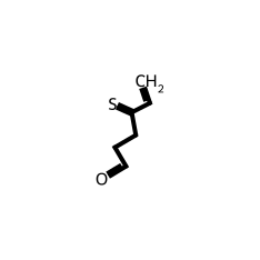 C=CC(=S)CCC=O